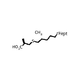 C.C=C(CSCCCCCCCCCCCC)C(=O)O